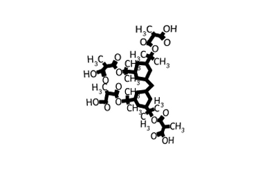 CC(C(=O)O)C(=O)OC(C)(C)C1CC(CC2CC(C(C)(C)OC(=O)C(C)C(=O)O)CC(C(C)(C)OC(=O)C(C)C(=O)O)C2)CC(C(C)(C)OC(=O)C(C)C(=O)O)C1